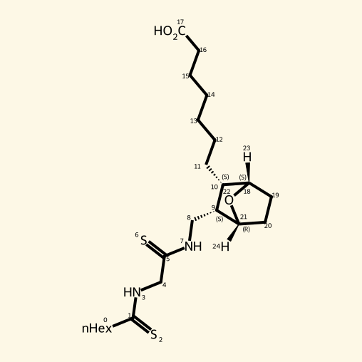 CCCCCCC(=S)NCC(=S)NC[C@@H]1[C@H](CCCCCCC(=O)O)[C@@H]2CC[C@H]1O2